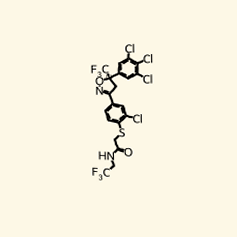 O=C(CSc1ccc(C2=NO[C@@](c3cc(Cl)c(Cl)c(Cl)c3)(C(F)(F)F)C2)cc1Cl)NCC(F)(F)F